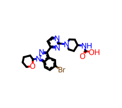 O=C(O)NC1CCN(c2nccc(-c3nn(C4CCCCO4)c4ccc(Br)cc34)n2)CC1